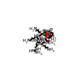 CC(C)[C@H](NC(=O)[C@H](CCCCN)NC(=O)[C@H](CCCNC(=N)N)NC(=O)[C@H](CCCCN)NC(=O)[C@H](CCCCN)NC(=O)[C@H](CCCCN)NC(=O)[C@@H]1CCCN1)C(=O)N[C@@H](CS)C(=O)O